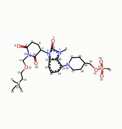 Cn1c(=O)n(C2CCC(=O)N(COCC[Si](C)(C)C)C2=O)c2cccc(N3CCC(COS(C)(=O)=O)CC3)c21